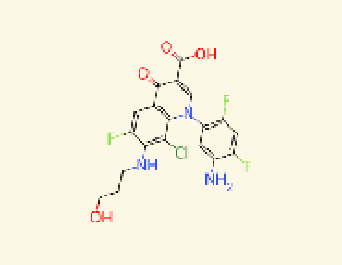 Nc1cc(-n2cc(C(=O)O)c(=O)c3cc(F)c(NCCCO)c(Cl)c32)c(F)cc1F